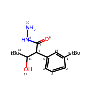 CC(C)(C)c1cccc(C(C(=O)NN)C(O)C(C)(C)C)c1